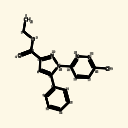 CCOC(=O)c1cc(-c2ccccc2)n(-c2ccc(Cl)nn2)n1